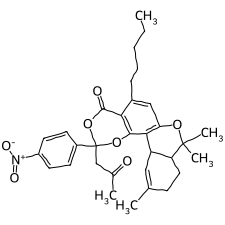 CCCCCc1cc2c(c3c1C(=O)OC(CC(C)=O)(c1ccc([N+](=O)[O-])cc1)O3)C1C=C(C)CCC1C(C)(C)O2